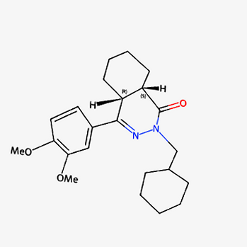 COc1ccc(C2=NN(CC3CCCCC3)C(=O)[C@H]3CCCC[C@@H]23)cc1OC